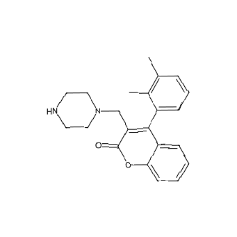 Cc1cccc(-c2c(CN3CCNCC3)c(=O)oc3ccccc23)c1C